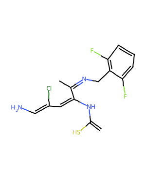 C=C(S)NC(=C/C(Cl)=C/N)/C(C)=N\Cc1c(F)cccc1F